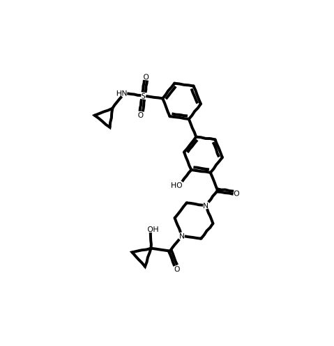 O=C(c1ccc(-c2cccc(S(=O)(=O)NC3CC3)c2)cc1O)N1CCN(C(=O)C2(O)CC2)CC1